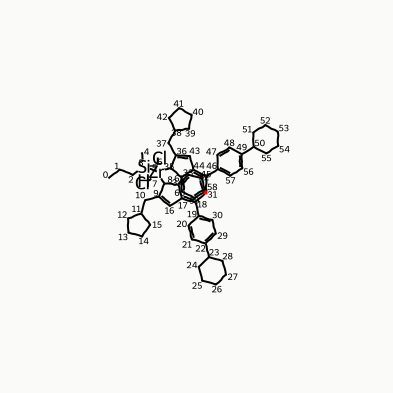 CCC[SiH](C)[Zr]([Cl])([Cl])([CH]1C(CC2CCCC2)=Cc2c(-c3ccc(C4CCCCC4)cc3)cccc21)[CH]1C(CC2CCCC2)=Cc2c(-c3ccc(C4CCCCC4)cc3)cccc21